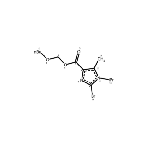 CCCCOCOC(=O)c1nc(Br)n(C(C)C)c1C